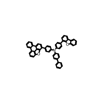 c1ccc(-c2ccc(N(c3ccc(-c4cccc5c4oc4ccccc45)cc3)c3ccc(-c4ccc5c6ccccc6c6cccc7oc4c5c76)cc3)cc2)cc1